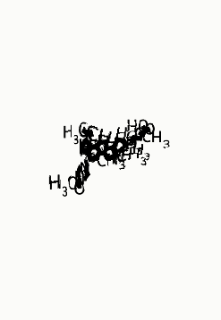 C=C(C)[C@@H]1CC[C@]2(CCN3CCN(C(C)=O)CC3)CC[C@]3(C)[C@H](CC[C@@H]4[C@@]5(C)CC[C@H](OC(=O)CC(C)(C)C(=O)O)C(C)(C)[C@@H]5CC[C@]43C)[C@@H]12